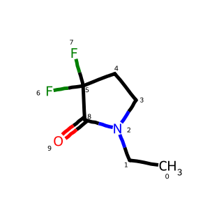 CCN1CCC(F)(F)C1=O